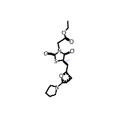 CCOC(=O)CN1C(=O)S/C(=C\c2ccc(N3CCCC3)o2)C1=O